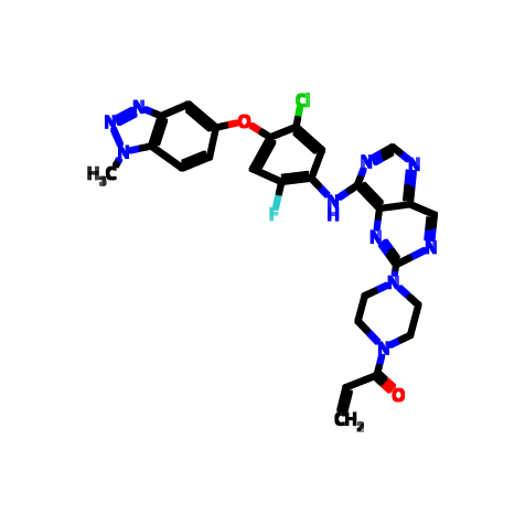 C=CC(=O)N1CCN(c2ncc3ncnc(Nc4cc(Cl)c(Oc5ccc6c(c5)nnn6C)cc4F)c3n2)CC1